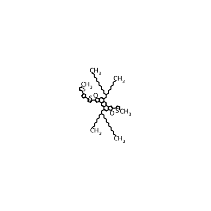 CCCCCCCCCCCCC(CCCCCCCC)Cc1cc2c(=O)c(-c3ccc(C)s3)cc2c2cc3c(CC(CCCCCCCC)CCCCCCCCCCCC)cc4c(=O)c(-c5ccc(C6=CC=C(c7ccc(C)s7)C6)s5)cc4c3cc12